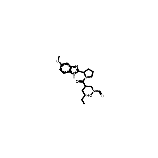 CCCCC(CN(O)C=O)C(=O)N1CCCC1c1nc2cc(OC)ccc2[nH]1